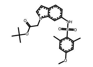 COc1cc(C)c(S(=O)(=O)Nc2ccc3ccn(CC(=O)OC(C)(C)C)c3c2)c(C)c1